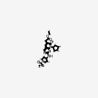 CCOC(=O)Cc1cc2cnc(NC3CCN(S(C)(=O)=O)CC3)nc2n(C2CCCC2)c1=O